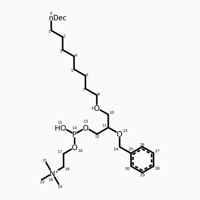 CCCCCCCCCCCCCCCCCCOCC(COP(O)OCC[N+](C)(C)C)OCc1ccccc1